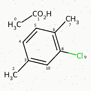 CC(=O)O.Cc1ccc(C)c(Cl)c1